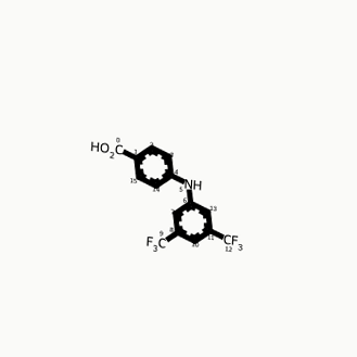 O=C(O)c1ccc(Nc2cc(C(F)(F)F)cc(C(F)(F)F)c2)cc1